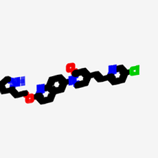 O=c1cc(C=Cc2ccc(Cl)cn2)ccn1-c1ccc2nc(OCCC3CCCN3)ccc2c1